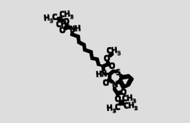 CCOC(=O)[C@H](CCCCCCCCCNC(=O)OC(C)(C)C)N[C@H]1CSc2ccccc2N(CC(=O)OC(C)(C)C)C1=O